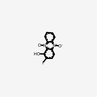 [O-][n+]1c2ccccc2[n+]([O-])c2c(O)c(I)ccc21